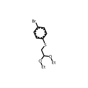 CCOC(CSc1ccc(Br)cc1)OCC